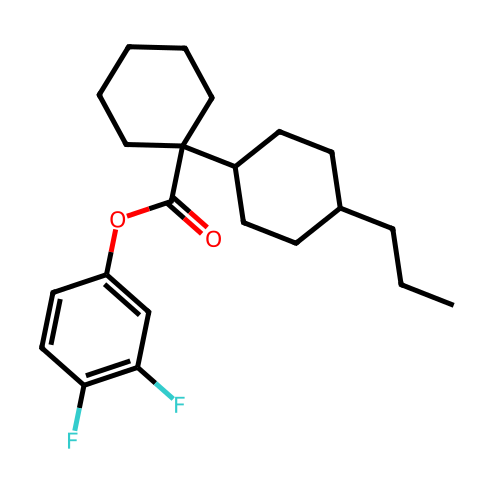 CCCC1CCC(C2(C(=O)Oc3ccc(F)c(F)c3)CCCCC2)CC1